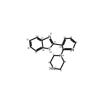 c1cnc(N2CCNCC2)c(-c2nc3ccccc3s2)c1